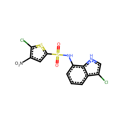 O=[N+]([O-])c1cc(S(=O)(=O)Nc2cccc3c(Cl)c[nH]c23)sc1Cl